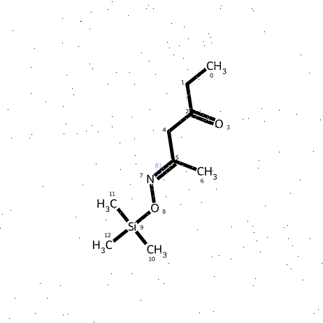 CCC(=O)C/C(C)=N/O[Si](C)(C)C